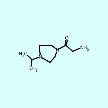 CC(C)N1CCN(C(=O)CN)CC1